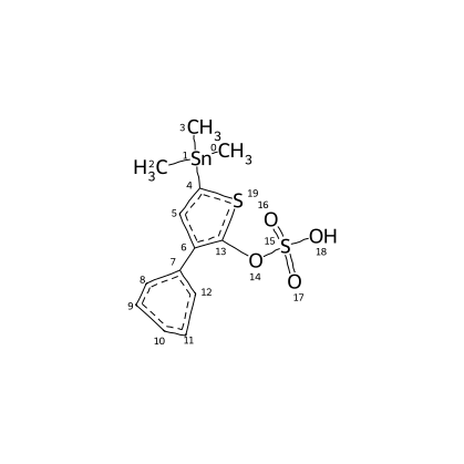 [CH3][Sn]([CH3])([CH3])[c]1cc(-c2ccccc2)c(OS(=O)(=O)O)s1